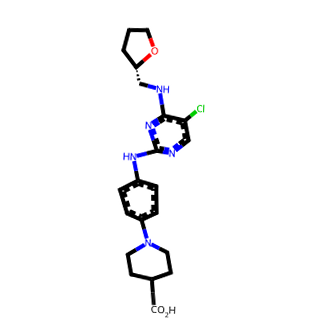 O=C(O)C1CCN(c2ccc(Nc3ncc(Cl)c(NC[C@@H]4CCCO4)n3)cc2)CC1